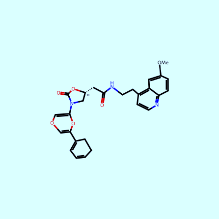 COc1ccc2nccc(CCNC(=O)C[C@@H]3CN(C4=COC=C(C5=CC=CCC5)O4)C(=O)O3)c2c1